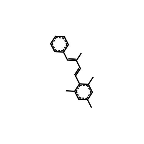 CC(C=Cc1c(C)cc(C)cc1C)=Cc1ccccc1